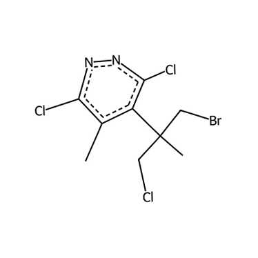 Cc1c(Cl)nnc(Cl)c1C(C)(CCl)CBr